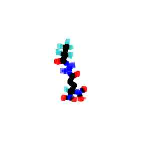 O=C(CCC(F)([N+](=O)[O-])[N+](=O)[O-])NNC(=O)C(F)(F)C(F)(F)F